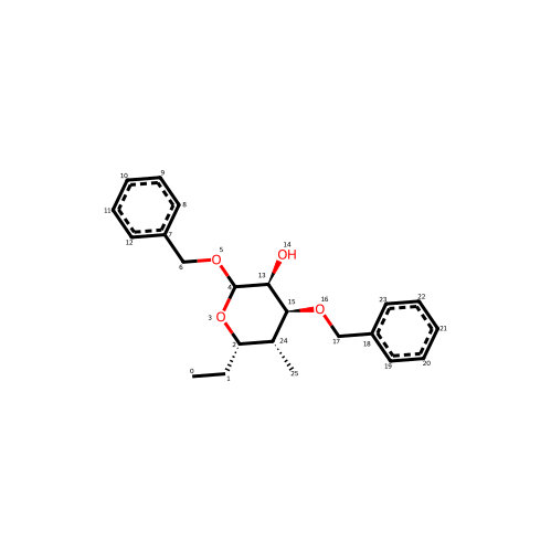 CC[C@@H]1OC(OCc2ccccc2)[C@@H](O)[C@@H](OCc2ccccc2)[C@@H]1C